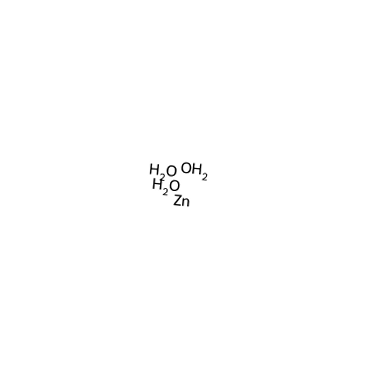 O.O.O.[Zn]